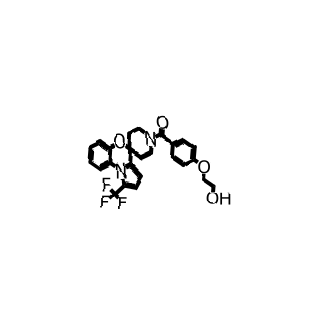 O=C(c1ccc(OCCO)cc1)N1CCC2(CC1)Oc1ccccc1-n1c(C(F)(F)F)ccc12